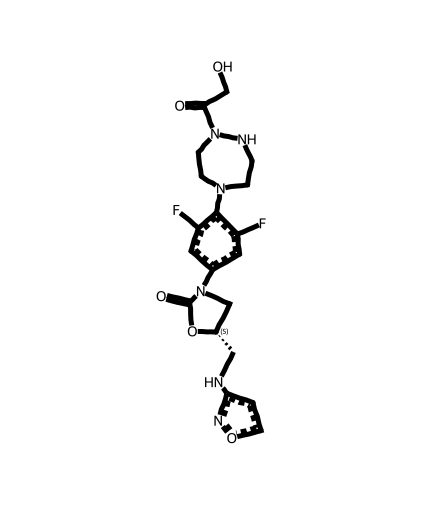 O=C(CO)N1CCN(c2c(F)cc(N3C[C@H](CNc4ccon4)OC3=O)cc2F)CCN1